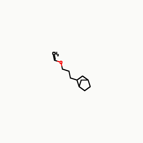 C=COCCCC1CC2CCC1C2